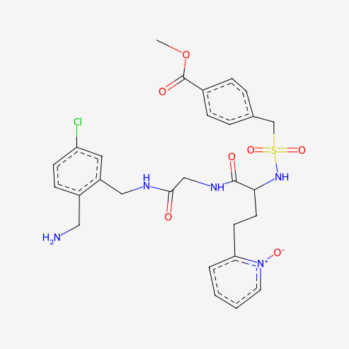 COC(=O)c1ccc(CS(=O)(=O)NC(CCc2cccc[n+]2[O-])C(=O)NCC(=O)NCc2cc(Cl)ccc2CN)cc1